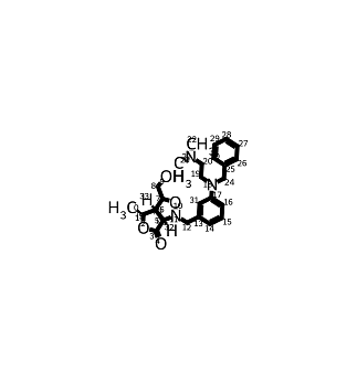 C[C@@H]1OC(=O)[C@@H]2[C@H]1C(CO)ON2Cc1cccc(N(CCN(C)C)Cc2ccccc2)c1